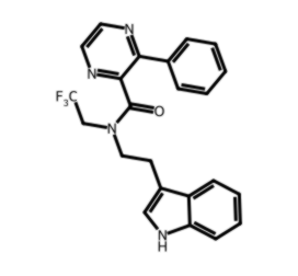 O=C(c1nccnc1-c1ccccc1)N(CCc1c[nH]c2ccccc12)CC(F)(F)F